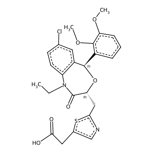 CCN1C(=O)[C@@H](Cc2ncc(CC(=O)O)s2)O[C@H](c2cccc(OC)c2OC)c2cc(Cl)ccc21